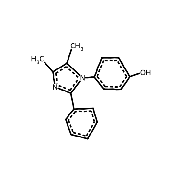 Cc1nc(-c2ccccc2)n(-c2ccc(O)cc2)c1C